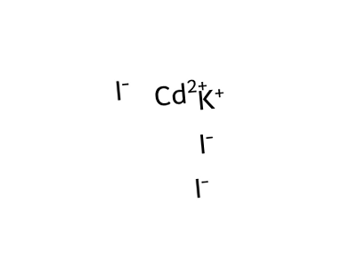 [Cd+2].[I-].[I-].[I-].[K+]